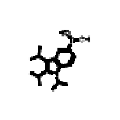 CC(C)c1c(C(C)C)n(C(C)C)c2ccc(B(O)O)cc12